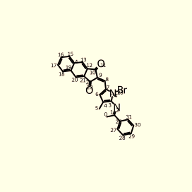 C/C(=N\c1c(C)cc(C=C2C(=O)c3cc4ccccc4cc3C2=O)n1Br)c1ccccc1